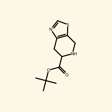 CC(C)(C)OC(=O)C1Cc2ncsc2CN1